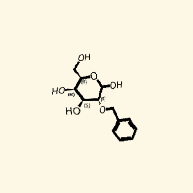 OC[C@H]1OC(O)[C@H](OCc2ccccc2)[C@@H](O)[C@H]1O